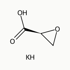 O=C(O)[C@@H]1CO1.[KH]